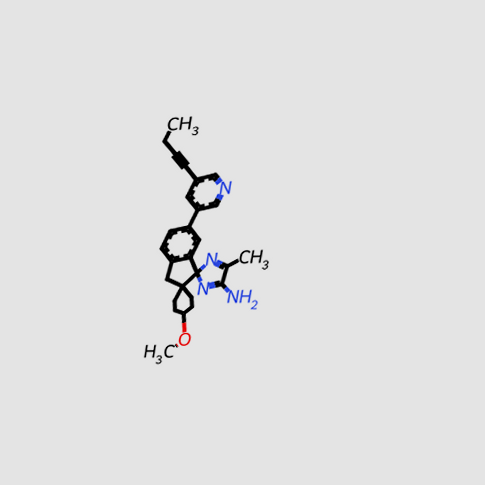 CCC#Cc1cncc(-c2ccc3c(c2)C2(N=C(C)C(N)=N2)C2(CCC(OC)CC2)C3)c1